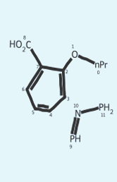 CCCOc1ccccc1C(=O)O.P=NP